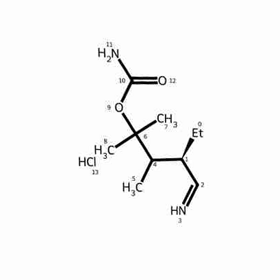 CC[C@@H](C=N)C(C)C(C)(C)OC(N)=O.Cl